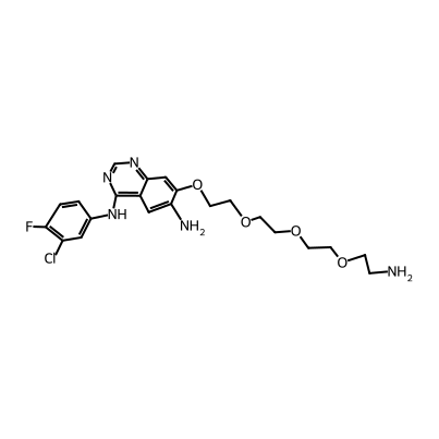 NCCOCCOCCOCCOc1cc2ncnc(Nc3ccc(F)c(Cl)c3)c2cc1N